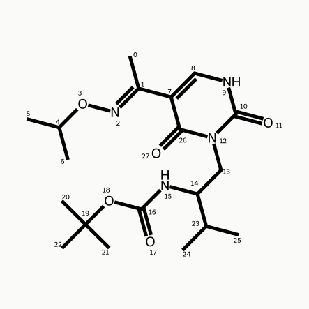 CC(=NOC(C)C)c1c[nH]c(=O)n(CC(NC(=O)OC(C)(C)C)C(C)C)c1=O